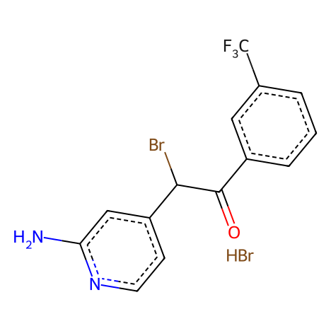 Br.Nc1cc(C(Br)C(=O)c2cccc(C(F)(F)F)c2)ccn1